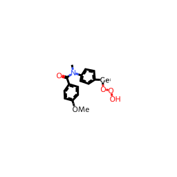 COc1ccc(C(=O)N(C)c2cc[c]([Ge][O]OO)cc2)cc1